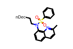 CCCCCCCCCCCCN(c1cccc2ccc(C)nc12)S(=O)(=O)c1ccccc1